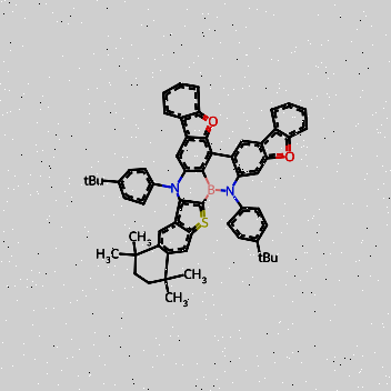 CC(C)(C)c1ccc(N2B3c4sc5cc6c(cc5c4N(c4ccc(C(C)(C)C)cc4)c4cc5c(oc7ccccc75)c(c43)-c3cc4c(cc32)oc2ccccc24)C(C)(C)CCC6(C)C)cc1